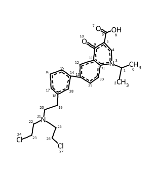 CC(C)n1cc(C(=O)O)c(=O)c2cc(-c3cccc(CCN(CCCl)CCCl)c3)ccc21